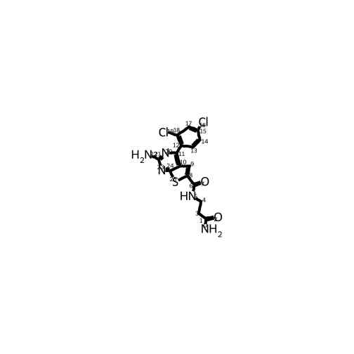 NC(=O)CCNC(=O)c1cc2c(-c3ccc(Cl)cc3Cl)nc(N)nc2s1